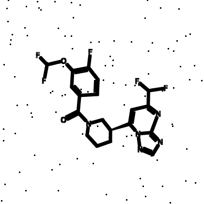 O=C(c1ccc(F)c(OC(F)F)c1)N1CCC[C@H](c2cc(C(F)F)nc3ncnn23)C1